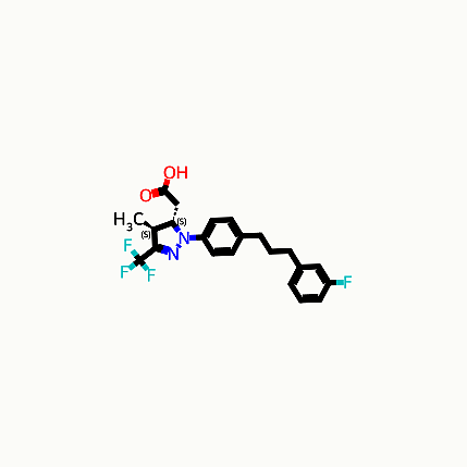 C[C@@H]1C(C(F)(F)F)=NN(c2ccc(CCCc3cccc(F)c3)cc2)[C@H]1CC(=O)O